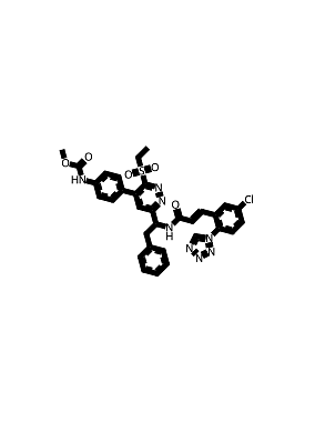 CCS(=O)(=O)c1nnc(C(Cc2ccccc2)NC(=O)C=Cc2cc(Cl)ccc2-n2cnnn2)cc1-c1ccc(NC(=O)OC)cc1